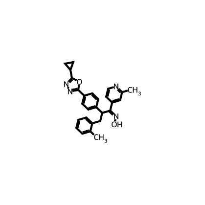 Cc1cc(C(=NO)C(Cc2ccccc2C)c2ccc(-c3nnc(C4CC4)o3)cc2)ccn1